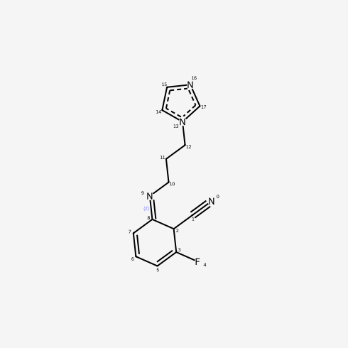 N#CC1C(F)=CC=C/C1=N/CCCn1ccnc1